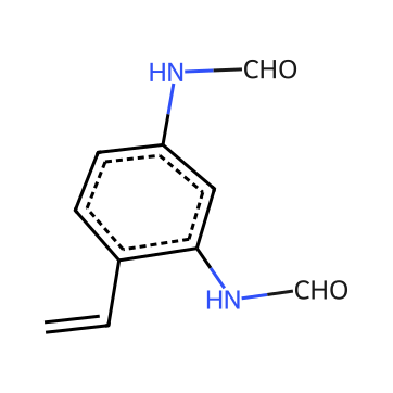 C=Cc1ccc(NC=O)cc1NC=O